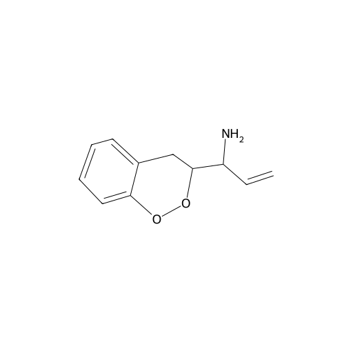 C=CC(N)C1Cc2ccccc2OO1